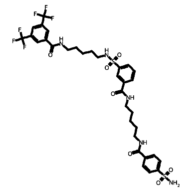 NS(=O)(=O)c1ccc(C(=O)NCCCCCNC(=O)c2cccc(S(=O)(=O)NCCCCCNC(=O)c3cc(C(F)(F)F)cc(C(F)(F)F)c3)c2)cc1